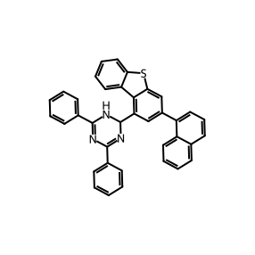 c1ccc(C2=NC(c3cc(-c4cccc5ccccc45)cc4sc5ccccc5c34)NC(c3ccccc3)=N2)cc1